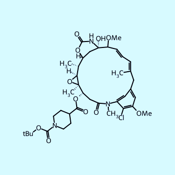 COc1cc2cc(c1Cl)N(C)C(=O)C[C@H](OC(=O)C1CCN(C(=O)OC(C)(C)C)CC1)[C@@]1(C)O[C@H]1[C@H](C)[C@@H]1C[C@@](O)(NC(=O)O1)C(OC)/C=C/C=C(\C)C2